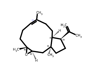 C=C(C)[C@H]1CC[C@@]2(C)C[C@H]3O[C@]3(C)CC/C=C(/C)CC[C@@H]12